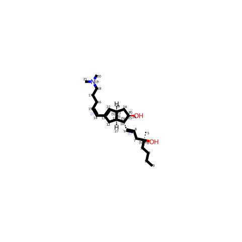 CCCC[C@](C)(O)C/C=C/[C@@H]1[C@H]2CC(/C=C\CCCN(C)C)=C[C@H]2C[C@H]1O